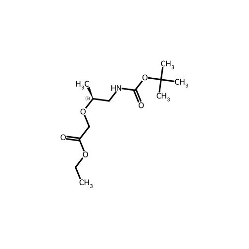 CCOC(=O)CO[C@@H](C)CNC(=O)OC(C)(C)C